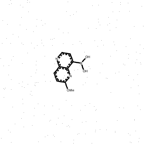 COc1ccc2nccc(B(O)O)c2n1